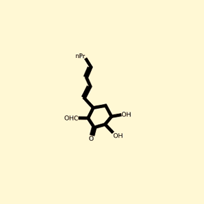 CCCC=CC=CC1CC(O)C(O)C(=O)C1C=O